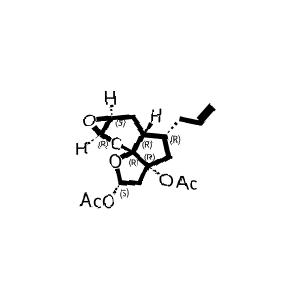 C=CC[C@@H]1C[C@@]2(OC(C)=O)C[C@H](OC(C)=O)O[C@@]23C[C@H]2O[C@H]2C[C@H]13